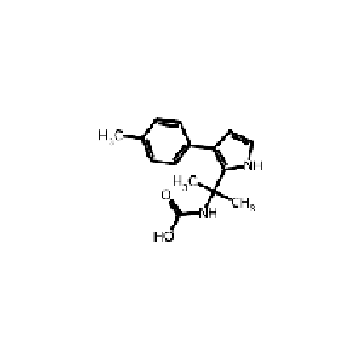 Cc1ccc(-c2cc[nH]c2C(C)(C)NC(=O)O)cc1